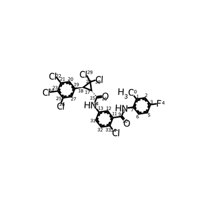 Cc1cc(F)ccc1NC(=O)c1cc(NC(=O)[C@@H]2[C@@H](c3cc(Cl)c(Cl)c(Cl)c3)C2(Cl)Cl)ccc1Cl